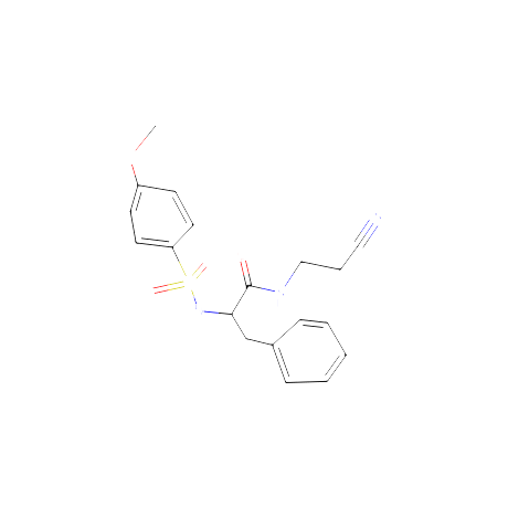 COc1ccc(S(=O)(=O)NC(Cc2ccccc2)C(=O)NCCC#N)cc1